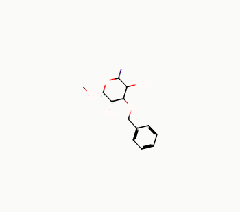 CO[C@@H]1OC(I)C(O)C(OCc2ccccc2)[C@@H]1O